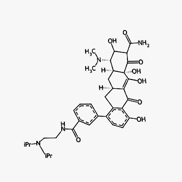 CC(C)N(CCNC(=O)c1cccc(-c2ccc(O)c3c2C[C@H]2C[C@H]4[C@H](N(C)C)C(O)C(C(N)=O)C(=O)[C@@]4(O)C(O)=C2C3=O)c1)C(C)C